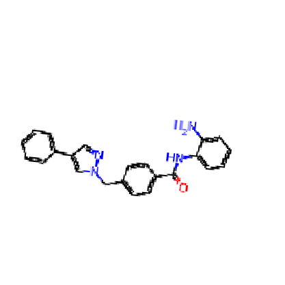 Nc1ccccc1NC(=O)c1ccc(Cn2cc(-c3ccccc3)cn2)cc1